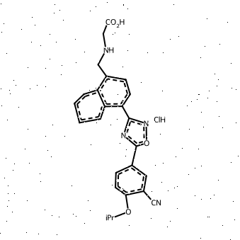 CC(C)Oc1ccc(-c2nc(-c3ccc(CNCC(=O)O)c4ccccc34)no2)cc1C#N.Cl